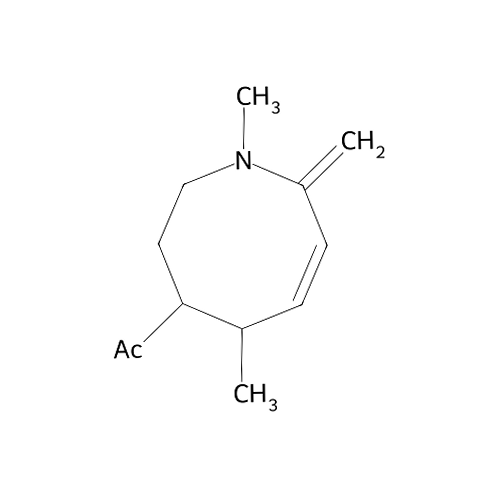 C=C1/C=C\C(C)C(C(C)=O)CCN1C